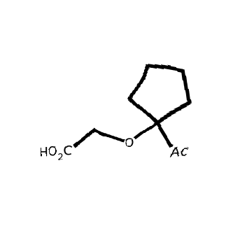 CC(=O)C1(OCC(=O)O)CCCC1